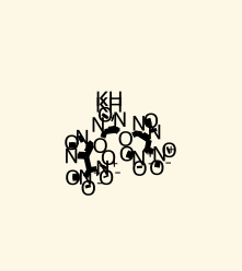 O=[N+]([O-])C(c1nonc1Oc1nonc1Oc1nonc1C([N+](=O)[O-])[N+](=O)[O-])[N+](=O)[O-].[KH].[KH]